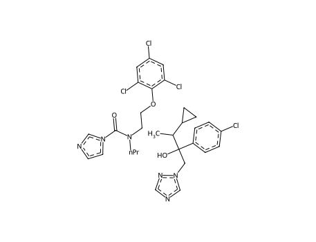 CC(C1CC1)C(O)(Cn1cncn1)c1ccc(Cl)cc1.CCCN(CCOc1c(Cl)cc(Cl)cc1Cl)C(=O)n1ccnc1